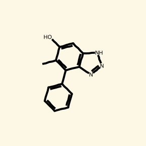 Cc1c(O)cc2[nH]nnc2c1-c1ccccc1